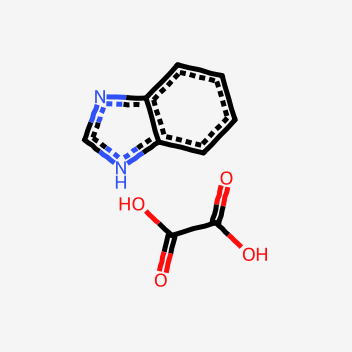 O=C(O)C(=O)O.c1ccc2[nH]cnc2c1